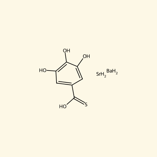 OC(=S)c1cc(O)c(O)c(O)c1.[BaH2].[SrH2]